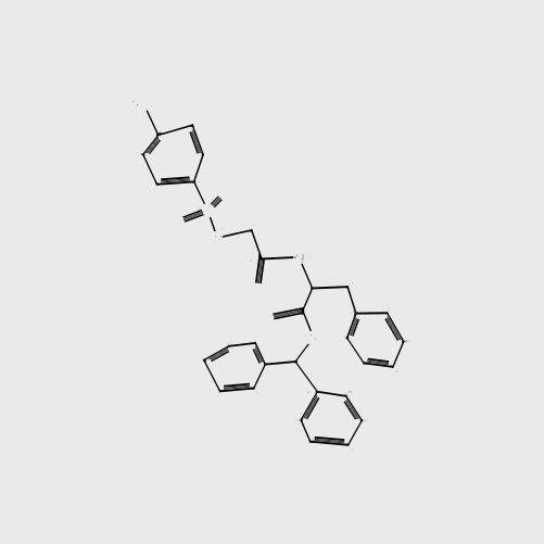 N#Cc1ccc(S(=O)(=O)NCC(=O)NC(Cc2ccccc2)C(=O)NC(c2ccccc2)c2ccccc2)cc1